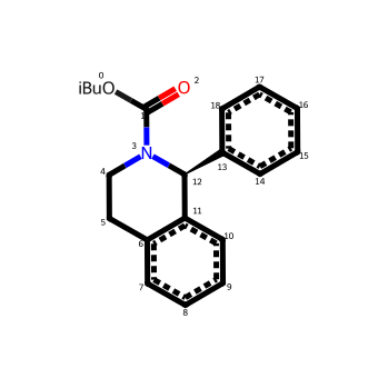 CC(C)COC(=O)N1CCc2ccccc2[C@@H]1c1ccccc1